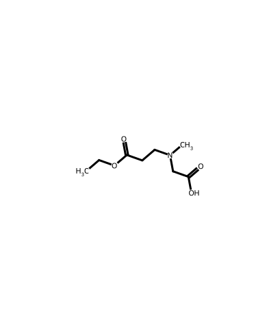 CCOC(=O)CCN(C)CC(=O)O